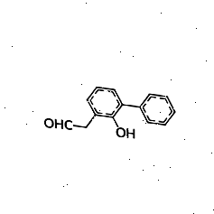 O=CCc1cccc(-c2ccccc2)c1O